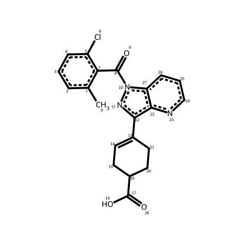 Cc1cccc(Cl)c1C(=O)n1nc(C2=CCC(C(=O)O)CC2)c2ncccc21